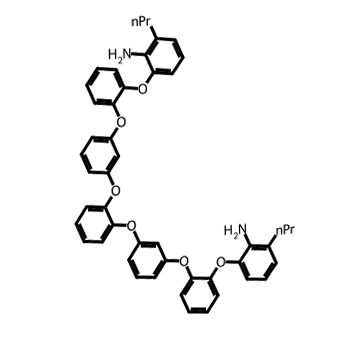 CCCc1cccc(Oc2ccccc2Oc2cccc(Oc3ccccc3Oc3cccc(Oc4ccccc4Oc4cccc(CCC)c4N)c3)c2)c1N